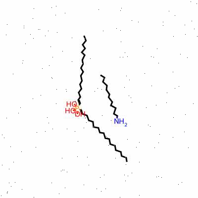 CCCCCCCCCCCCCCCCC=CP(O)(O)(O)C=CCCCCCCCCCCCCCCCC.CCCCCCCCCCCCN